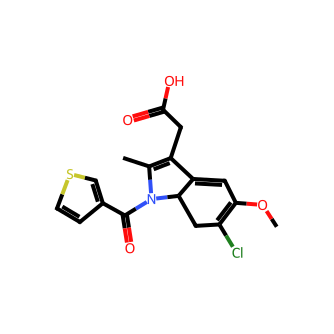 COC1=C(Cl)CC2C(=C1)C(CC(=O)O)=C(C)N2C(=O)c1ccsc1